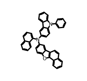 c1ccc(-n2c3ccccc3c3cc(N(c4ccc5oc6c7ccccc7ccc6c5c4)c4cccc5ccccc45)ccc32)cc1